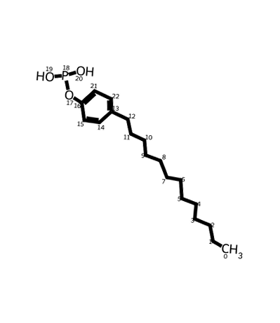 CCCCCCCCCCCCCc1ccc(OP(O)O)cc1